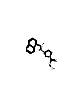 C[C@H](N[C@H]1CCN(C(=O)OC(C)(C)C)C1)c1cccc2ccccc12